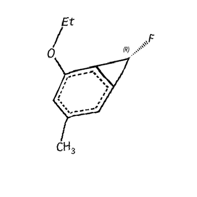 CCOc1cc(C)cc2c1[C@@H]2F